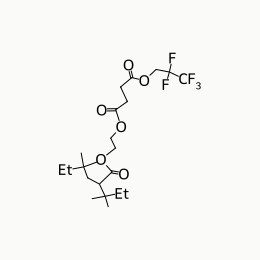 CCC(C)(C)CC(C(=O)OCCOC(=O)CCC(=O)OCC(F)(F)C(F)(F)F)C(C)(C)CC